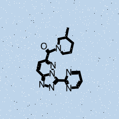 CC1CCCN(C(=O)c2ccc3nnc(-c4ncccn4)n3n2)C1